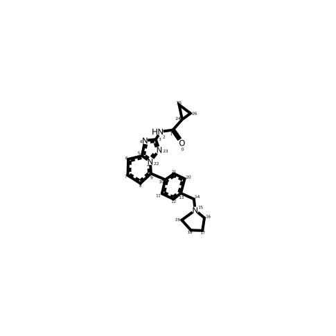 O=C(Nc1nc2cccc(-c3ccc(CN4CCCC4)cc3)n2n1)C1CC1